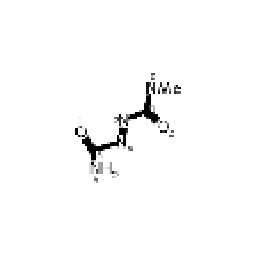 CNC(=O)N=NC(N)=O